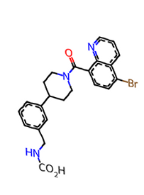 O=C(O)NCc1cccc(C2CCN(C(=O)c3ccc(Br)c4cccnc34)CC2)c1